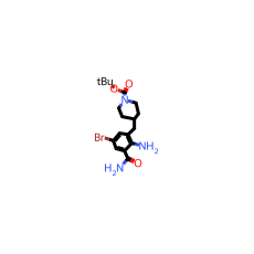 CC(C)(C)OC(=O)N1CCC(Cc2cc(Br)cc(C(N)=O)c2N)CC1